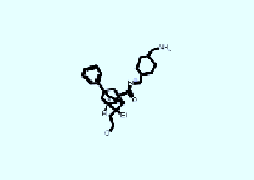 CCC1(CCCl)C2CC3(c4ccccc4)C[C@@H]1CC2(C(=O)/N=C/C1CCC(CN)CC1)C3